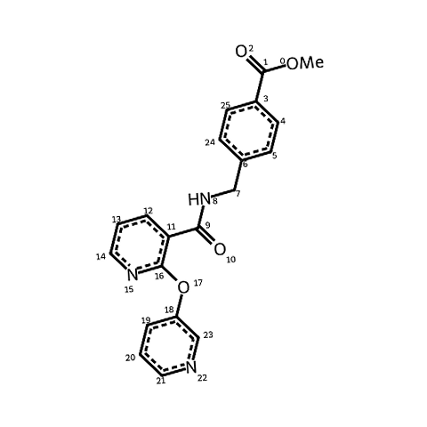 COC(=O)c1ccc(CNC(=O)c2cccnc2Oc2cccnc2)cc1